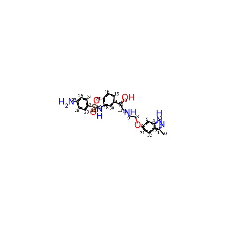 Cc1n[nH]c2cc(OCCNC[C@H](O)c3cccc(NS(=O)(=O)c4ccc(N)cc4)c3)ccc12